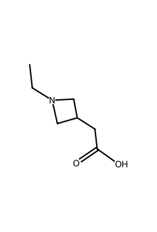 CCN1CC(CC(=O)O)C1